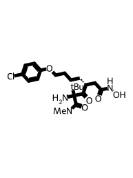 CNC(=O)C(N)(C(=O)[C@H](CCCCOc1ccc(Cl)cc1)CC(=O)NO)C(C)(C)C